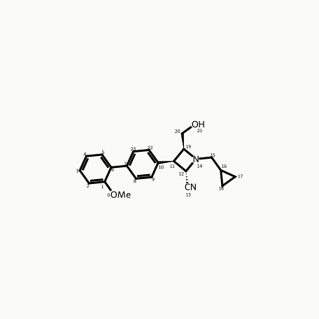 COc1ccccc1-c1ccc([C@@H]2[C@@H](C#N)N(CC3CC3)[C@@H]2CO)cc1